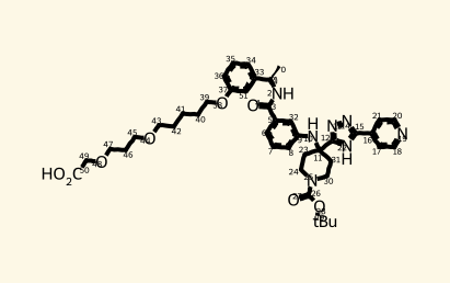 C[C@@H](NC(=O)c1cccc(NC2(c3nnc(-c4ccncc4)[nH]3)CCN(C(=O)OC(C)(C)C)CC2)c1)c1cccc(OCCCCCOCCCOCC(=O)O)c1